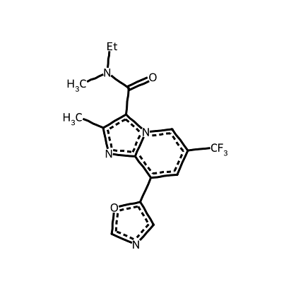 CCN(C)C(=O)c1c(C)nc2c(-c3cnco3)cc(C(F)(F)F)cn12